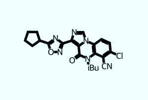 CCC(C)n1c(=O)c2c(-c3noc(C4CCCC4)n3)ncn2c2ccc(Cl)c(C#N)c21